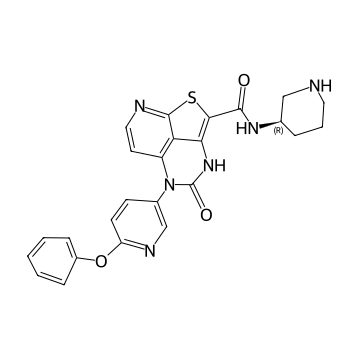 O=C(N[C@@H]1CCCNC1)c1sc2nccc3c2c1NC(=O)N3c1ccc(Oc2ccccc2)nc1